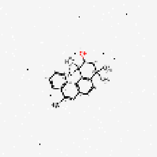 CC(=Cc1ccc2c(c1)C(C)(C)C(O)CC2(C)C)c1ccccc1